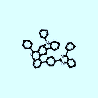 c1ccc(-c2nc(-c3ccc(-c4cccc5nc(-c6ccccc6)c6cc7c(cc6c45)c4ccccc4n7-c4ccccc4)cc3)nc3ccccc23)cc1